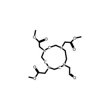 COC(=O)CN1CCN(CC=O)CCN(CC(=O)OC)CCN(CC(=O)OC)CC1